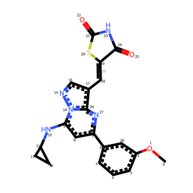 COc1cccc(-c2cc(NC3CC3)n3ncc(/C=C4\SC(=O)NC4=O)c3n2)c1